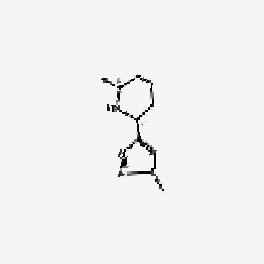 C[C@H]1CCC[C@@H](c2cn(C)nn2)N1